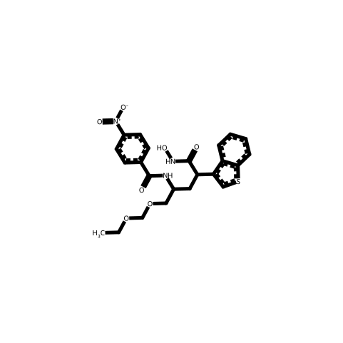 CCOCOCC(CC(C(=O)NO)c1csc2ccccc12)NC(=O)c1ccc([N+](=O)[O-])cc1